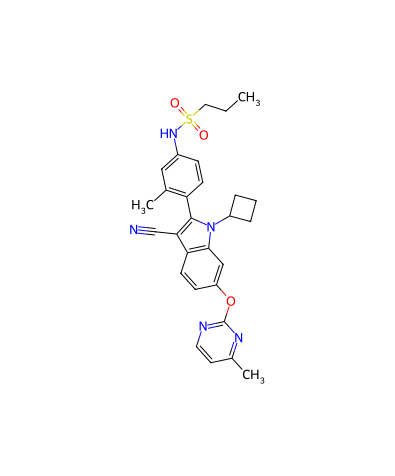 CCCS(=O)(=O)Nc1ccc(-c2c(C#N)c3ccc(Oc4nccc(C)n4)cc3n2C2CCC2)c(C)c1